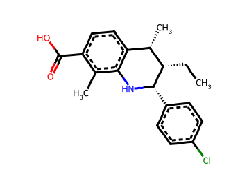 CC[C@H]1[C@@H](C)c2ccc(C(=O)O)c(C)c2N[C@H]1c1ccc(Cl)cc1